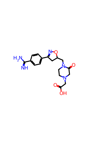 N=C(N)c1ccc(C2=NOC(CN3CCN(CC(=O)O)CC3=O)C2)cc1